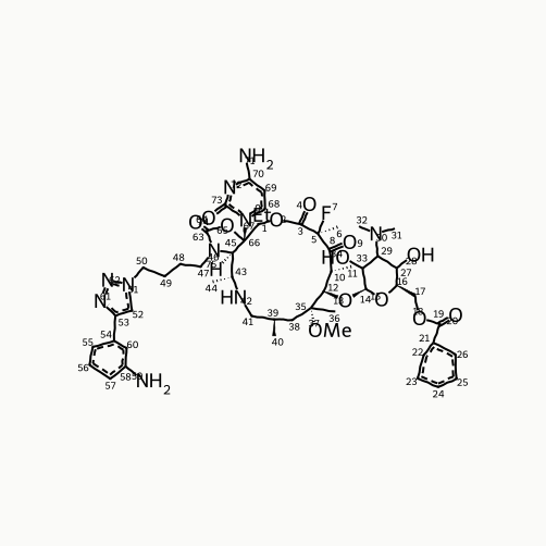 CC[C@H]1OC(=O)[C@@](C)(F)C(=O)[C@H](C)[C@@H](O[C@@H]2O[C@H](COC(=O)c3ccccc3)C(O)C(N(C)C)C2O)[C@](C)(OC)C[C@@H](C)CN[C@H](C)[C@H]2N(CCCCn3cc(-c4cccc(N)c4)nn3)C(=O)O[C@]12n1ccc(N)nc1=O